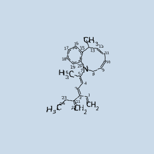 C=C/C(=C\C=C(/C)N1C/C=C\C=C/C(C)c2ccccc21)C(=C)CC